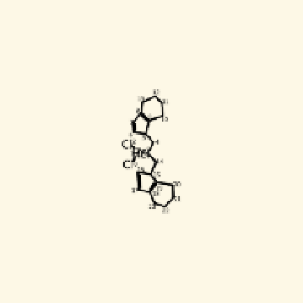 [Cl][Zr]([Cl])[SiH](CC1C=CC2=C1CCCC2)CC1C=CC2=C1CCCC2